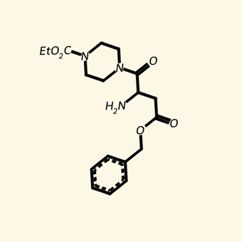 CCOC(=O)N1CCN(C(=O)C(N)CC(=O)OCc2ccccc2)CC1